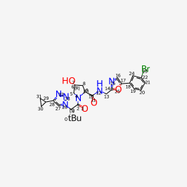 CC(C)(C)[C@@H](C(=O)N1C[C@H](O)C[C@H]1C(=O)NCc1ncc(-c2cccc(Br)c2)o1)n1cc(C2CC2)nn1